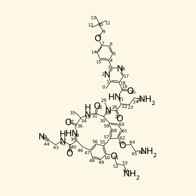 Cc1nc(-c2ccc(OCC(C)(C)C)cc2)ncc1C(=O)NC(CCN)C(=O)N(C)C1C(=O)NC(C)C(=O)NC(C(=O)NCC#N)Cc2ccc(OCCN)c(c2)-c2cc1ccc2OCCN